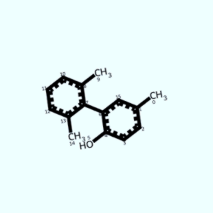 Cc1ccc(O)c(-c2c(C)cccc2C)c1